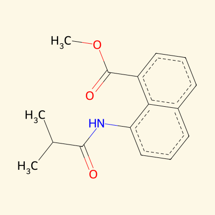 COC(=O)c1cccc2cccc(NC(=O)C(C)C)c12